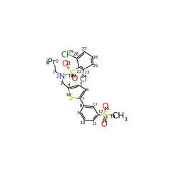 CC(C)CN(Cc1ccc(-c2cccc(S(C)(=O)=O)c2)s1)S(=O)(=O)c1c(Cl)cccc1Cl